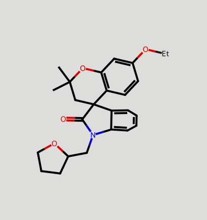 CCOc1ccc2c(c1)OC(C)(C)CC21C(=O)N(CC2CCCO2)c2ccccc21